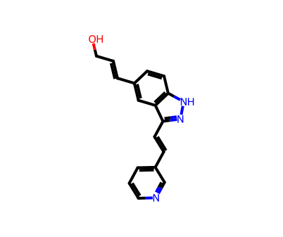 OCC=Cc1ccc2[nH]nc(/C=C/c3cccnc3)c2c1